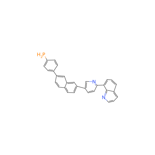 Pc1ccc(-c2ccc3ccc(-c4ccc(-c5cccc6cccnc56)nc4)cc3c2)cc1